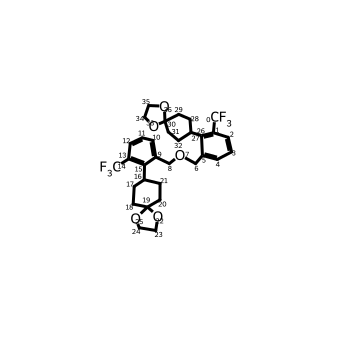 FC(F)(F)c1cccc(COCc2cccc(C(F)(F)F)c2C2CCC3(CC2)OCCO3)c1C1CCC2(CC1)OCCO2